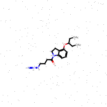 CC(=O)OCC(COC(C)=O)Oc1cccc2c1CCN2C(=O)CCCN=[N+]=[N-]